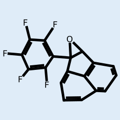 Fc1c(F)c(F)c(C23OC2c2cccc4cccc3c24)c(F)c1F